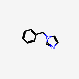 [c]1ccc(Cn2ccnc2)cc1